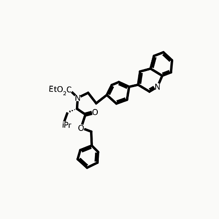 CCOC(=O)N(CCc1ccc(-c2cnc3ccccc3c2)cc1)[C@@H](CC(C)C)C(=O)OCc1ccccc1